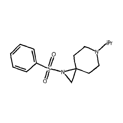 CC(C)N1CCC2(CC1)CN2S(=O)(=O)c1ccccc1